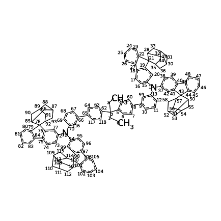 CCC(CC)(c1ccc(-c2cccc(N(c3ccc4c(c3)C3(c5ccccc5-4)C4CC5CC(C4)CC3C5)c3ccc4c(c3)C3(c5ccccc5-4)C4CC5CC(C4)CC3C5)c2)cc1)c1ccc(-c2cccc(N(c3ccc4c(c3)C3(c5ccccc5-4)C4CC5CC(C4)CC3C5)c3ccc4c(c3)C3(c5ccccc5-4)C4CC5CC(C4)CC3C5)c2)cc1